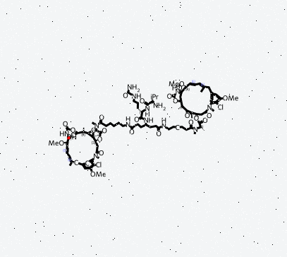 COc1cc2cc(c1Cl)N(C)C(=O)C[C@H](OC(=O)[C@H](C)N(C)C(=O)CCCCCNC(=O)CCC(CCC(=O)NCCCCCC(=O)N(C)[C@@H](C)C(=O)O[C@H]1CC(=O)N(C)c3cc(cc(OC)c3Cl)C/C(C)=C/C=C/[C@@H](OC)[C@@]3(O)CC(OC(=O)N3)[C@@H](C)C3O[C@]31C)NC(=O)[C@H](CCCNC(N)=O)NC(=O)[C@@H](N)C(C)C)[C@]1(C)OC1[C@H](C)C1C[C@@](O)(NC(=O)O1)[C@H](OC)/C=C/C=C(\C)C2